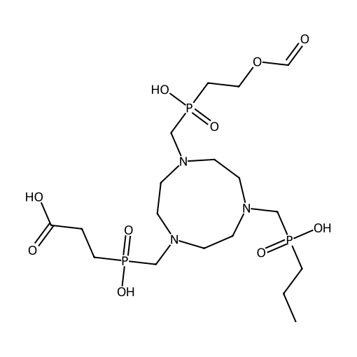 CCCP(=O)(O)CN1CCN(CP(=O)(O)CCOC=O)CCN(CP(=O)(O)CCC(=O)O)CC1